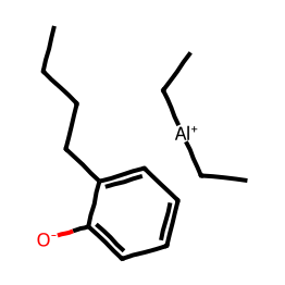 CCCCc1ccccc1[O-].C[CH2][Al+][CH2]C